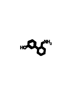 NCC1CCCCC1c1cccc(O)c1